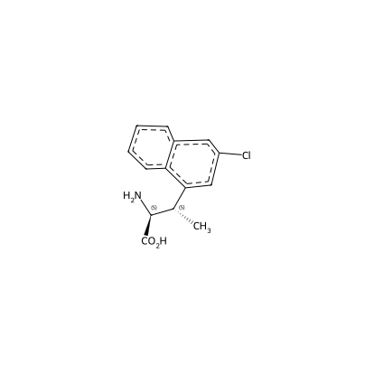 C[C@@H](c1cc(Cl)cc2ccccc12)[C@H](N)C(=O)O